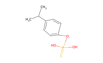 CC(C)c1ccc(OP(O)(O)=S)cc1